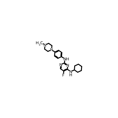 CN1CCN(c2ccc(Nc3ncc(F)c(NC4CCCCC4)n3)cc2)CC1